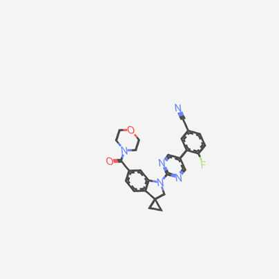 N#Cc1ccc(F)c(-c2cnc(N3CC4(CC4)c4ccc(C(=O)N5CCOCC5)cc43)nc2)c1